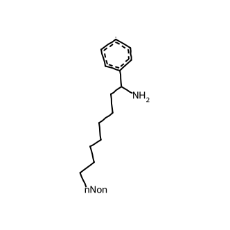 CCCCCCCCCCCCCCCCC(N)c1cc[c]cc1